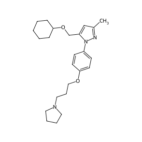 Cc1cc(COC2CCCCC2)n(-c2ccc(OCCCN3CCCC3)cc2)n1